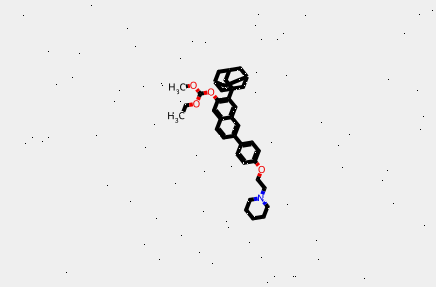 CCOC(OC)Oc1cc2ccc(-c3ccc(OCCN4CCCCC4)cc3)cc2cc1C12CC3CC(CC(C3)C1)C2